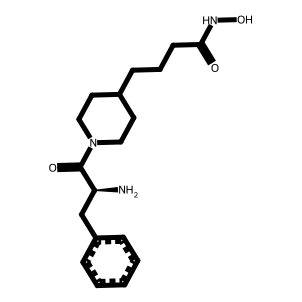 N[C@@H](Cc1ccccc1)C(=O)N1CCC(CCCC(=O)NO)CC1